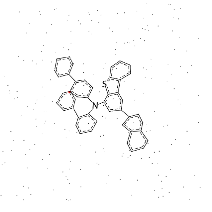 c1ccc(-c2ccc(N(c3ccccc3-c3ccccc3)c3cc(-c4ccc5ccccc5c4)cc4c3sc3ccccc34)cc2)cc1